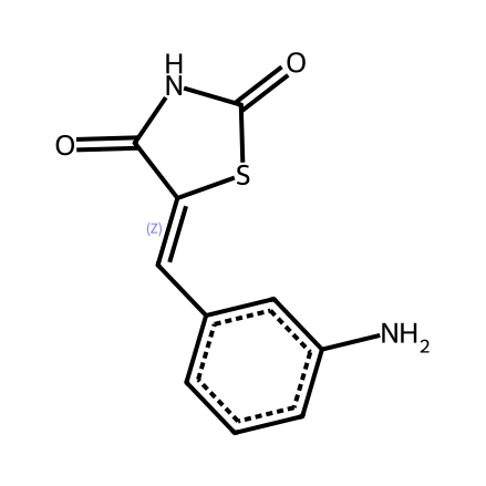 Nc1cccc(/C=C2\SC(=O)NC2=O)c1